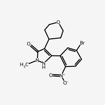 Cn1[nH]c(-c2cc(Br)ccc2[N+](=O)[O-])c(C2CCOCC2)c1=O